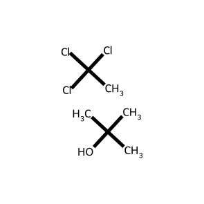 CC(C)(C)O.CC(Cl)(Cl)Cl